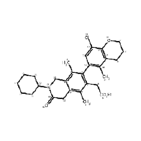 CCOC(=O)Cc1c(C)c2c(c(C)c1-c1cc(Cl)c3c(c1C)CCCO3)CN(C1CCCCC1)C(=O)C2